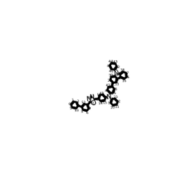 c1ccc(-c2cccc(-c3nnc(-c4ccc(N(c5ccccc5)c5ccc(-c6ccc7c(c6)c6ccccc6n7-c6ccccc6)cc5)cc4)o3)c2)cc1